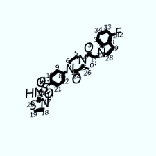 C[C@H](C(=O)N1CCN(c2ccc(S(=O)(=O)Nc3nccs3)cc2)C(=O)[C@@H]1C)n1ccc2c(F)cccc21